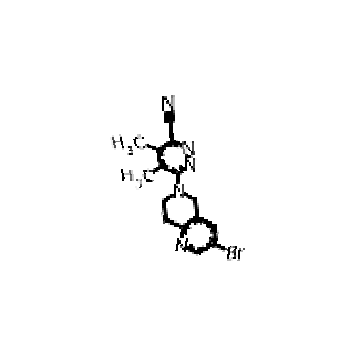 Cc1c(C#N)nnc(N2CCc3ncc(Br)cc3C2)c1C